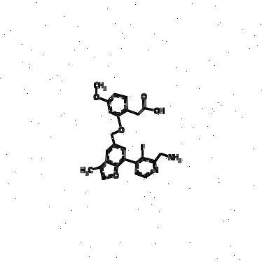 COc1ccc(CC(=O)O)c(OCc2cc(-c3ccnc(CN)c3F)c3occ(C)c3c2)c1